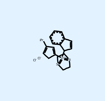 CC(C)C1=CC[C]([Zr+2]2([CH]3C=Cc4ccccc43)=[Si]3CC[Si]=2CC3)=C1.[Cl-].[Cl-]